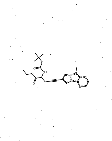 CCOC(=O)C(CC#Cc1cn2c3nccnc3n(C)[n+]2c1)NC(=O)OC(C)(C)C